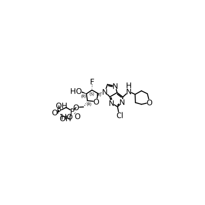 O=P(O)(O)CP(=O)(O)OC[C@H]1O[C@@H](n2cnc3c(NC4CCOCC4)nc(Cl)nc32)[C@@H](F)[C@@H]1O